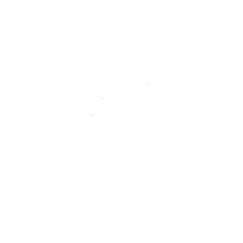 COC(=O)CCCSC1=N[C@@H]2CC(=O)N(CCCCCCCCO)[C@@H]2C1